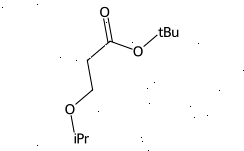 CC(C)OCCC(=O)OC(C)(C)C